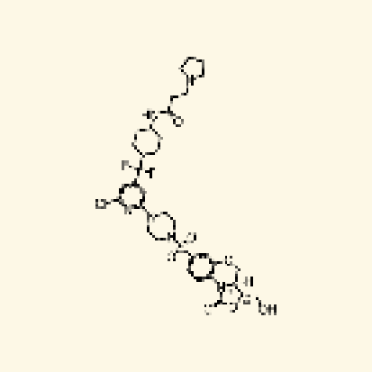 O=C(CCN1CCCC1)NC1CCC(C(F)(F)c2cc(Cl)nc(N3CCN(S(=O)(=O)c4ccc5c(c4)OC[C@H]4[C@H](CO)OC(=O)N54)CC3)c2)CC1